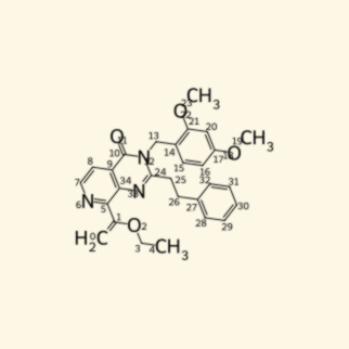 C=C(OCC)c1nccc2c(=O)n(Cc3ccc(OC)cc3OC)c(CCc3ccccc3)nc12